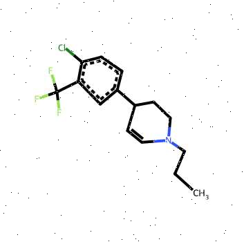 CCCN1C=CC(c2ccc(Cl)c(C(F)(F)F)c2)CC1